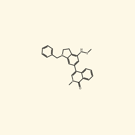 CSNc1cc(-c2cn(C)c(=O)c3ccccc23)cc2c1CCN2Cc1ccccc1